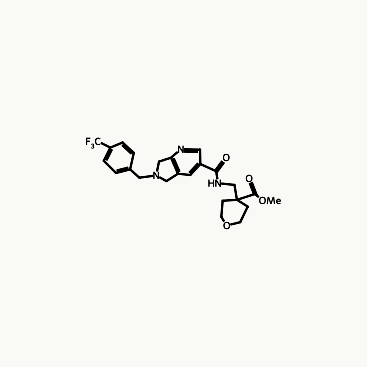 COC(=O)C1(CNC(=O)c2cnc3c(c2)CN(Cc2ccc(C(F)(F)F)cc2)C3)CCOCC1